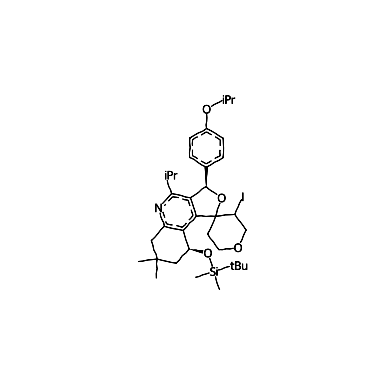 CC(C)Oc1ccc([C@H]2OC3(CCOCC3I)c3c2c(C(C)C)nc2c3[C@@H](O[Si](C)(C)C(C)(C)C)CC(C)(C)C2)cc1